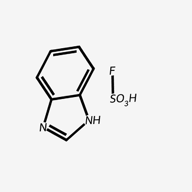 O=S(=O)(O)F.c1ccc2[nH]cnc2c1